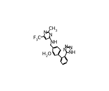 Cc1nc(NCc2ccc(-c3ccccc3-c3nnn[nH]3)cc2)cc(C(F)(F)F)n1.O